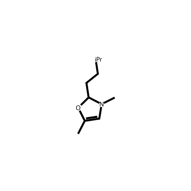 CC1=CN(C)C(CCC(C)C)O1